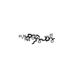 CCCCC1C(=O)N(Cc2ccc3c(N)ncnc3c2)CCN1C(=O)/C=C/c1ccc(NC(C)=O)nc1C